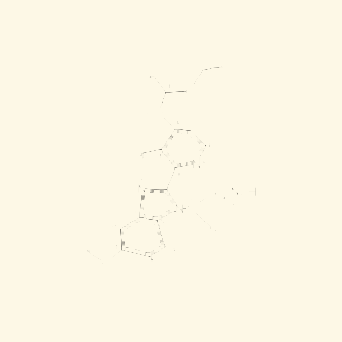 CCOC(C)Oc1ccnc(-c2nc3cc(OC)ccc3n2[S+](C)[O-])c1C.[NaH]